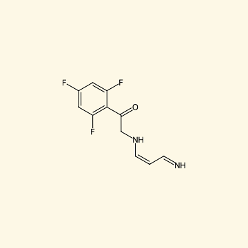 N=C/C=C\NCC(=O)c1c(F)cc(F)cc1F